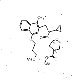 COCCCOc1cc(CN(C(=O)[C@H]2CN(C(=O)OC(C)(C)C)CCO2)C2CC2)c(C)c2ccccc12